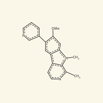 COc1cc2c(cc1-c1cccnc1)c1ccnc(C)c1n2C